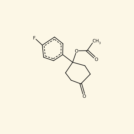 CC(=O)OC1(c2ccc(F)cc2)CCC(=O)CC1